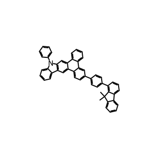 CC1(C)c2ccccc2-c2cccc(-c3ccc(-c4ccc5c(c4)c4ccccc4c4cc6c(cc54)c4ccccc4n6-c4ccccc4)cc3)c21